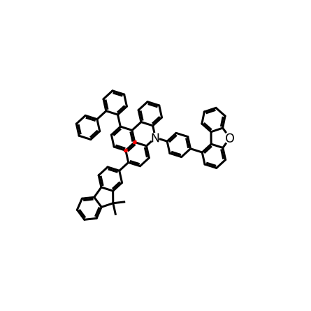 CC1(C)c2ccccc2-c2ccc(-c3ccc(N(c4ccc(-c5cccc6oc7ccccc7c56)cc4)c4ccccc4-c4ccccc4-c4ccccc4-c4ccccc4)cc3)cc21